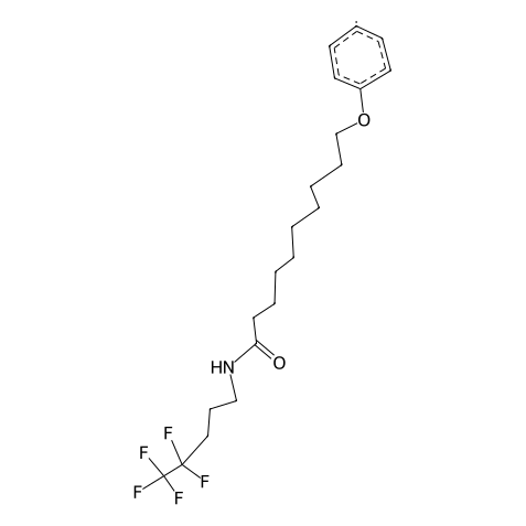 O=C(CCCCCCCCCOc1cc[c]cc1)NCCCC(F)(F)C(F)(F)F